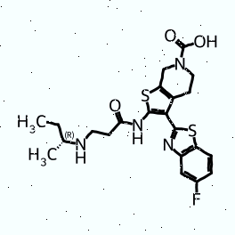 CC[C@@H](C)NCCC(=O)Nc1sc2c(c1-c1nc3cc(F)ccc3s1)CCN(C(=O)O)C2